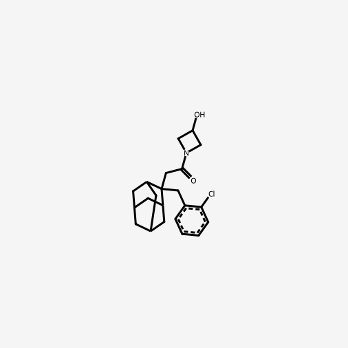 O=C(CC1(Cc2ccccc2Cl)C2CC3CC(C2)CC1C3)N1CC(O)C1